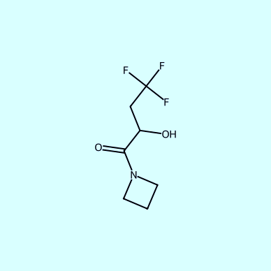 O=C(C(O)CC(F)(F)F)N1CCC1